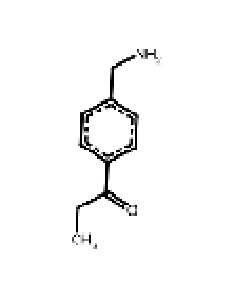 CCC(=O)c1ccc(CN)cc1